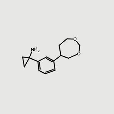 NC1(c2cccc(C3CCOCOC3)c2)CC1